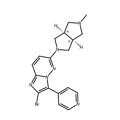 CN1C[C@@H]2CN(c3ccc4nc(Br)c(-c5ccncc5)n4n3)C[C@@H]2C1